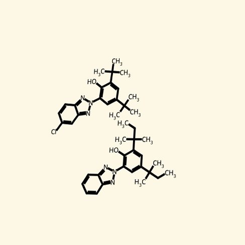 CC(C)(C)c1cc(-n2nc3ccc(Cl)cc3n2)c(O)c(C(C)(C)C)c1.CCC(C)(C)c1cc(-n2nc3ccccc3n2)c(O)c(C(C)(C)CC)c1